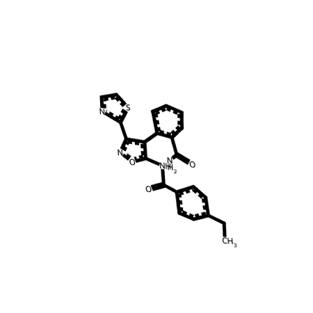 CCc1ccc(C(=O)Nc2onc(-c3nccs3)c2-c2ccccc2C(N)=O)cc1